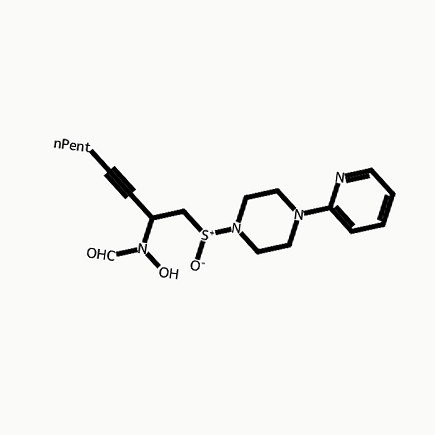 CCCCCC#CC(C[S+]([O-])N1CCN(c2ccccn2)CC1)N(O)C=O